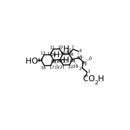 C[C@H](CCC(=O)O)[C@H]1CC[C@H]2[C@@H]3CCC4CC(O)CC[C@]4(C)[C@H]3CC[C@]12C